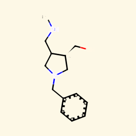 CC(C)NCC1CN(Cc2ccccc2)C[C@@H]1CO